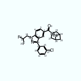 O=C(c1ccc2c(c1)c(-c1cccc(Cl)c1)nn2CC(F)F)N1CC2CC(C1)N2